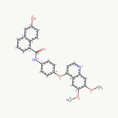 COc1cc2nccc(Oc3ccc(NC(=O)c4[c]ccc5cc(O)ccc45)cc3)c2cc1OC